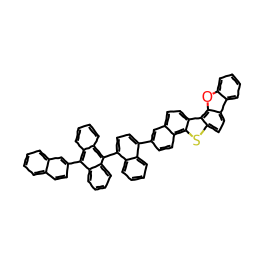 c1ccc2cc(-c3c4ccccc4c(-c4ccc(-c5ccc6c(ccc7c6sc6ccc8c9ccccc9oc8c67)c5)c5ccccc45)c4ccccc34)ccc2c1